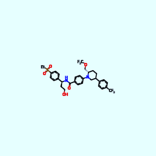 CCS(=O)(=O)c1ccc([C@H](CCO)NC(=O)c2ccc(N3CC(c4ccc(C(F)(F)F)cc4)CC[C@H]3COC(F)(F)F)cc2)cc1